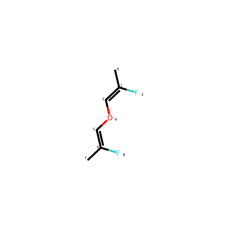 CC(F)=COC=C(C)F